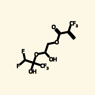 C=C(C(=O)OCC(O)OC(O)(C(F)F)C(F)(F)F)C(F)(F)F